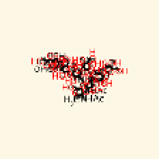 CC(=O)NC1C(O)[C@H](O[C@@H]2OC(CO)[C@H](O)[C@H](O[C@]3(OC=O)C[C@@H](O)[C@@H](C)C([C@H](O)[C@H](O)CO)O3)C2O)[C@H](CO)O[C@H]1OC1[C@@H](OCC2O[C@@H](O[C@@H]3C(CO)O[C@@H](O[C@@H]4C(CO)O[C@@H](C)C(NC(C)=O)[C@H]4O)C(NC(C)=O)[C@H]3O)C(O)[C@@H](O[C@H]3OC(CO)[C@@H](O)C(O)C3O)[C@@H]2O)OC(CO)[C@@H](O)[C@@H]1O